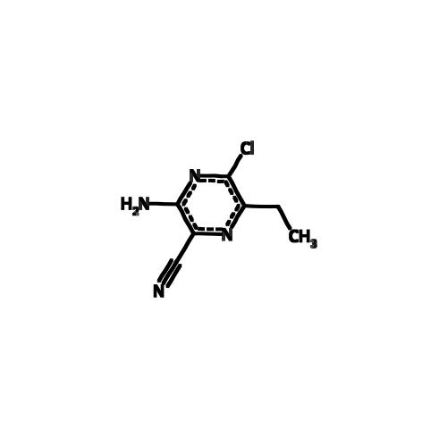 CCc1nc(C#N)c(N)nc1Cl